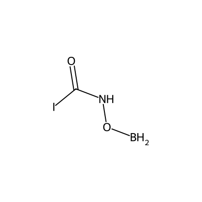 BONC(=O)I